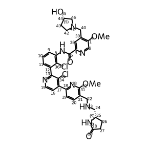 COc1cnc(C(=O)Nc2cccc(-c3nccc(-c4ccc(CNC[C@@H]5CCC(=O)N5)c(OC)n4)c3Cl)c2Cl)cc1CN1CC[C@H](O)C1